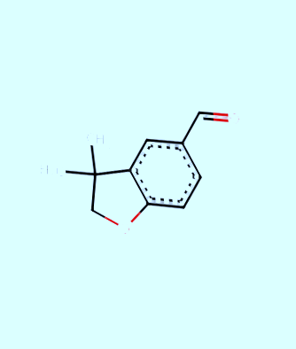 CC1(C)COc2ccc(C=O)cc21